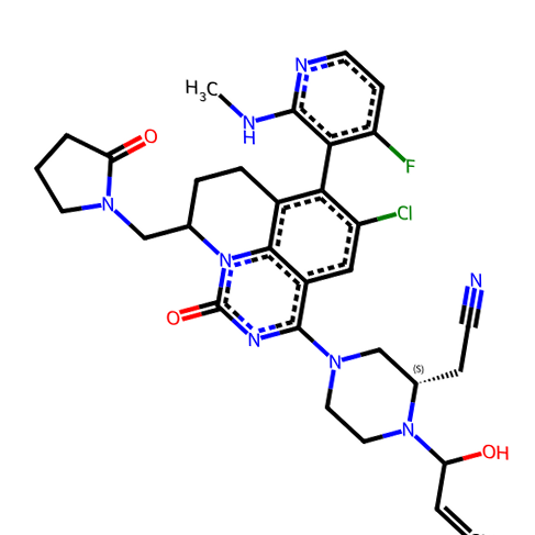 C=CC(O)N1CCN(c2nc(=O)n3c4c(c(-c5c(F)ccnc5NC)c(Cl)cc24)CCC3CN2CCCC2=O)C[C@@H]1CC#N